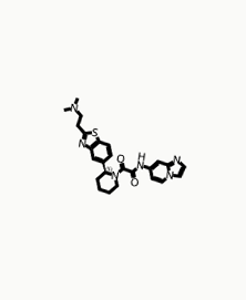 CN(C)CCc1nc2cc([C@@H]3CCCCN3C(=O)C(=O)Nc3ccn4ccnc4c3)ccc2s1